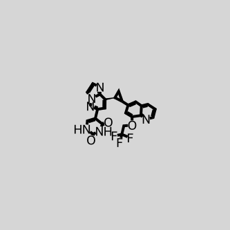 O=c1[nH]cc(-c2cc([C@H]3CC3c3cc(OCC(F)(F)F)c4ncccc4c3)c3nccn3n2)c(=O)[nH]1